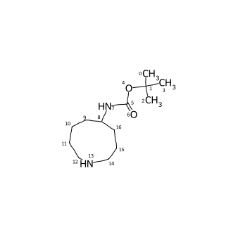 CC(C)(C)OC(=O)NC1CCCCNCCC1